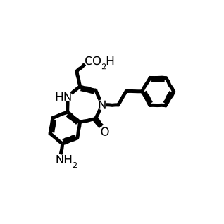 Nc1ccc2c(c1)C(=O)N(CCc1ccccc1)C=C(CC(=O)O)N2